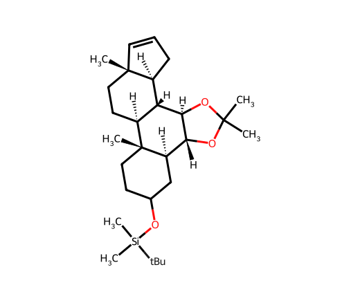 CC1(C)O[C@H]2[C@H](O1)[C@H]1CC(O[Si](C)(C)C(C)(C)C)CC[C@]1(C)[C@H]1CC[C@]3(C)C=CC[C@H]3[C@H]21